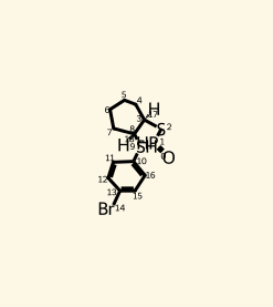 O=[PH]1S[C@@H]2CCCC[C@H]2[SH]1c1ccc(Br)cc1